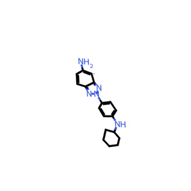 Nc1[c]c2nn(-c3ccc(NC4CCCCC4)cc3)nc2cc1